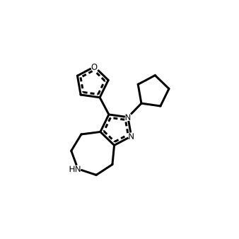 c1cc(-c2c3c(nn2C2CCCC2)CCNCC3)co1